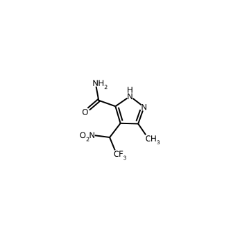 Cc1n[nH]c(C(N)=O)c1C([N+](=O)[O-])C(F)(F)F